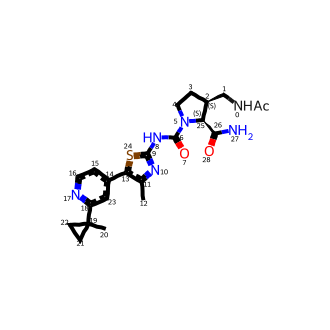 CC(=O)NC[C@@H]1CCN(C(=O)Nc2nc(C)c(-c3ccnc(C4(C)CC4)c3)s2)[C@@H]1C(N)=O